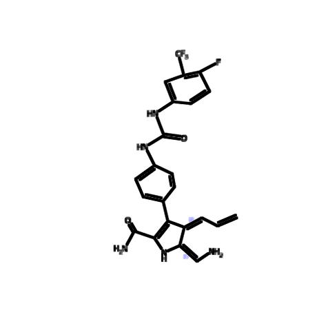 C=C/C=c1/c(-c2ccc(NC(=O)Nc3ccc(F)c(C(F)(F)F)c3)cc2)c(C(N)=O)[nH]/c1=C/N